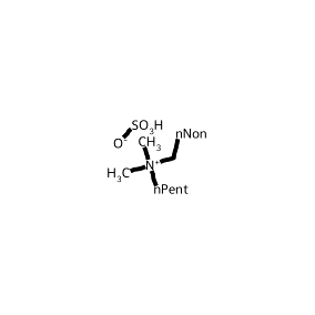 CCCCCCCCCC[N+](C)(C)CCCCC.O=S(=O)([O-])O